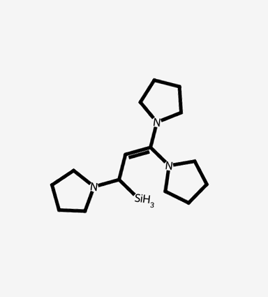 [SiH3]C(C=C(N1CCCC1)N1CCCC1)N1CCCC1